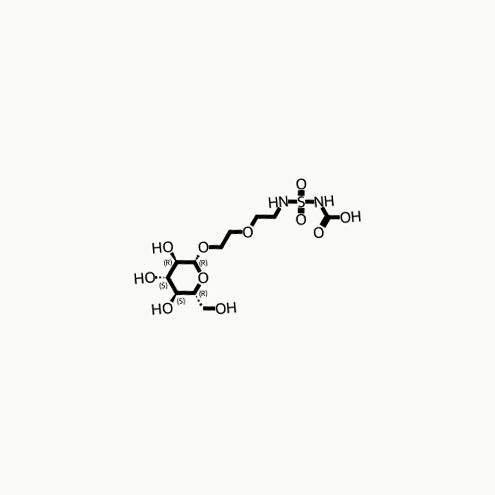 O=C(O)NS(=O)(=O)NCCOCCO[C@@H]1O[C@H](CO)[C@@H](O)[C@H](O)[C@H]1O